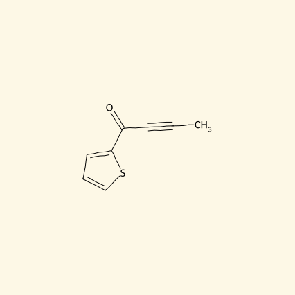 CC#CC(=O)c1cccs1